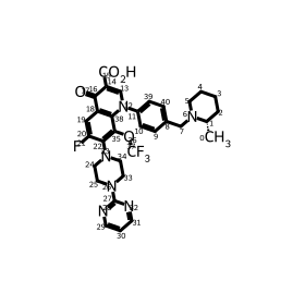 C[C@H]1CCCCN1Cc1ccc(-n2cc(C(=O)O)c(=O)c3cc(F)c(N4CCN(c5ncccn5)CC4)c(OC(F)(F)F)c32)cc1